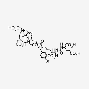 O=C(O)CCC(NC(=O)NC(CCCCN(Cc1ccc(Br)cc1)C(=O)CCCCNC(=O)/C1=N\CCN(CC(=O)O)CCN(CC(=O)O)CCN(CC(=O)O)C1)C(=O)O)C(=O)O